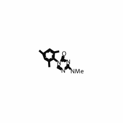 CNc1ncn(-c2c(C)cc(C)cc2C)c(=O)n1